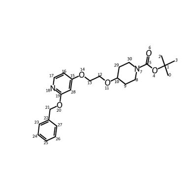 CC(C)(C)OC(=O)N1CCC(OCCOc2ccnc(OCc3ccccc3)c2)CC1